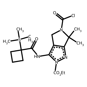 CCOC(=O)n1nc2c(c1NC(=O)C1(S(C)(C)C)CCC1)CN(C(=O)Cl)C2(C)C